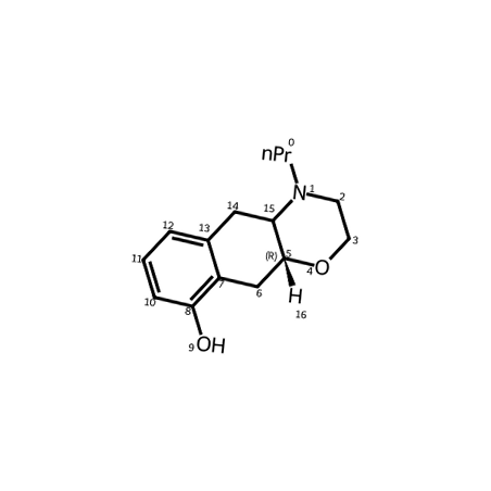 CCCN1CCO[C@@H]2Cc3c(O)cccc3CC21